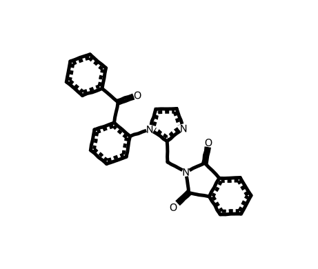 O=C(c1ccccc1)c1ccccc1-n1ccnc1CN1C(=O)c2ccccc2C1=O